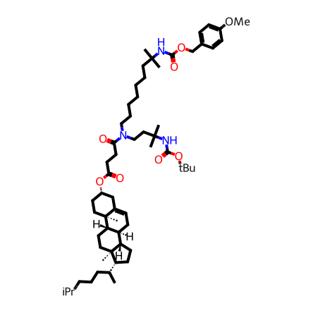 COc1ccc(COC(=O)NC(C)(C)CCCCCCCN(CCC(C)(C)NC(=O)OC(C)(C)C)C(=O)CCC(=O)O[C@H]2CC[C@@]3(C)C(=CC[C@H]4[C@@H]5CC[C@H](C(C)CCCC(C)C)[C@@]5(C)CC[C@@H]43)C2)cc1